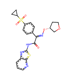 O=C(Nc1nc2cccnc2s1)/C(=N/O[C@@H]1CCOC1)c1ccc(S(=O)(=O)C2CC2)cc1